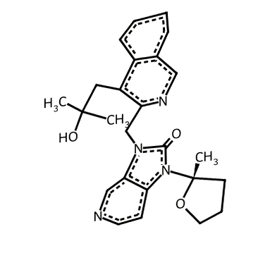 CC(C)(O)Cc1c(Cn2c(=O)n([C@]3(C)CCCO3)c3ccncc32)ncc2ccccc12